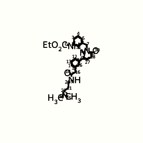 CCOC(=O)Nc1cccc(Cn2nc(-c3cccc(CC(=O)NCCCN(C)C)c3)ccc2=O)c1